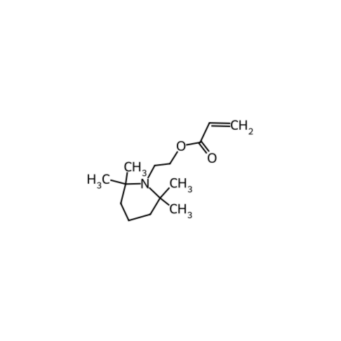 C=CC(=O)OCCN1C(C)(C)CCCC1(C)C